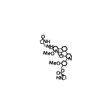 COc1cc(-c2nccc(-c3cccc(-c4ccc(CNCC5CCC(=O)N5)c(OC)n4)c3Cl)c2Cl)ccc1COC(=O)[C@H]1CCCN1